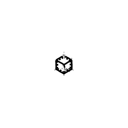 NC1c2cccc1n2